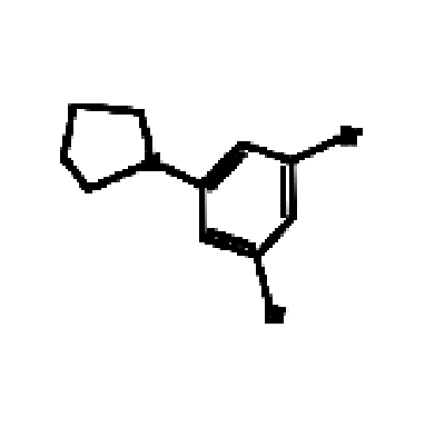 Brc1cc(Br)cc(N2CCCC2)c1